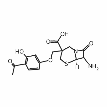 CC(=O)c1ccc(OCC2(C(=O)O)CS[C@@H]3C(N)C(=O)N3C2)cc1O